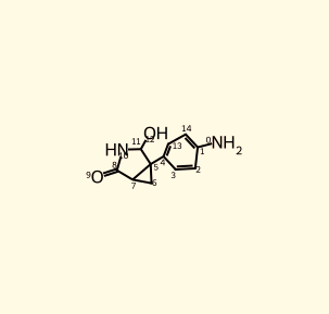 Nc1ccc(C23CC2C(=O)NC3O)cc1